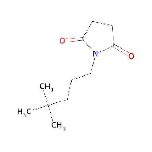 CC(C)(C)CCCN1C(=O)CCC1=O